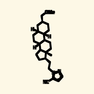 COC[C@H]1CC[C@@H]2C3CC[C@@]4(C)C(CC[C@@H]4CCn4nccc4C#N)[C@@H]3CC[C@@H]2C1